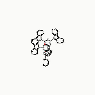 c1ccc(-c2nc(-n3c4ccccc4c4ccccc43)nc(-n3c4ccccc4c4ccc5c6ccccc6n(-c6cccc7nc(-c8ccccc8)oc67)c5c43)n2)cc1